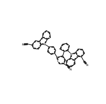 N#Cc1ccc(-c2ccc(-n3c4ccccc4c4cc(C#N)ccc43)cc2)c(-c2ccccc2-n2c3ccccc3c3c(C#N)cccc32)c1